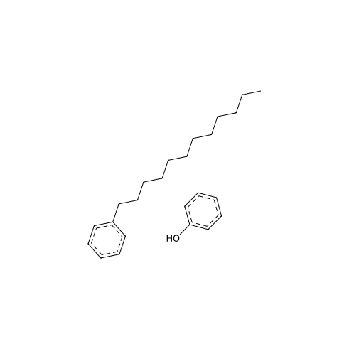 CCCCCCCCCCCCc1ccccc1.Oc1ccccc1